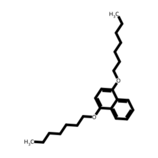 CCCCCCCOc1ccc(OCCCCCCC)c2ccccc12